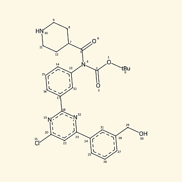 CC(C)(C)OC(=O)N(C(=O)C1CCNCC1)c1cccc(-c2nc(Cl)cc(-c3cccc(CO)c3)n2)c1